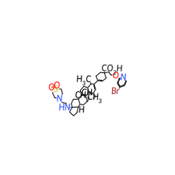 CC1C(C2=CCC(CCOc3cc(Br)ccn3)(C(=O)O)CC2)=CCC2(C)C1CCC1(C)C2CCC2[C@H]3CCC[C@]3(NCCN3CCS(=O)(=O)CC3)CC[C@]21C